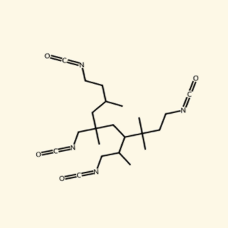 CC(CCN=C=O)CC(C)(CN=C=O)CC(C(C)CN=C=O)C(C)(C)CCN=C=O